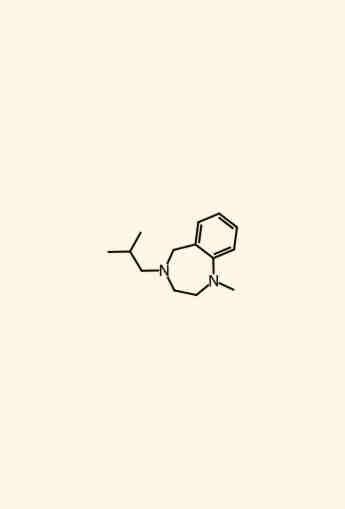 CC(C)CN1CCN(C)c2ccccc2C1